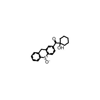 O=C(c1ccc2c(c1)Cc1ccccc1[S+]2[O-])C1(O)CCCCC1